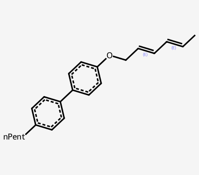 C/C=C/C=C/COc1ccc(-c2ccc(CCCCC)cc2)cc1